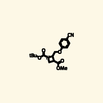 COC(=O)C1CN(C(=O)OC(C)(C)C)C1COc1ccc(C#N)cc1